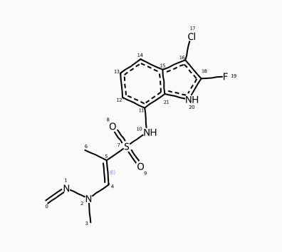 C=NN(C)/C=C(\C)S(=O)(=O)Nc1cccc2c(Cl)c(F)[nH]c12